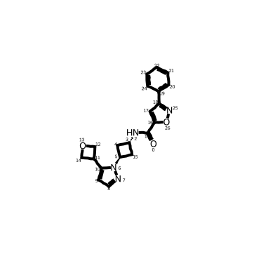 O=C(N[C@H]1C[C@H](n2nccc2C2COC2)C1)c1cc(-c2ccccc2)no1